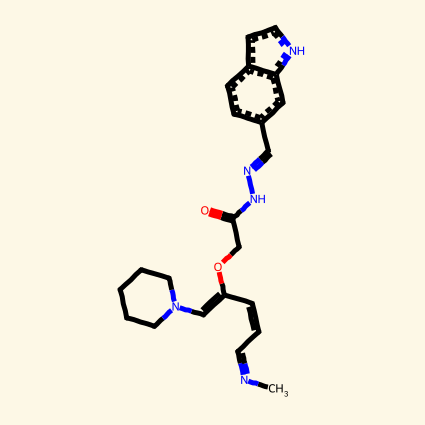 C\N=C/C=C\C(=C\N1CCCCC1)OCC(=O)N/N=C/c1ccc2cc[nH]c2c1